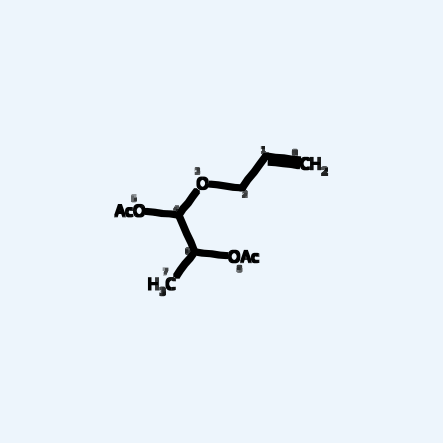 C=CCOC(OC(C)=O)C(C)OC(C)=O